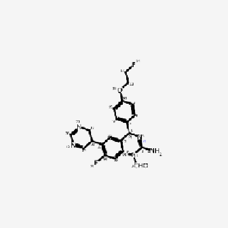 CN(C=O)/C(N)=N\[C@H](c1ccc(OCCF)cc1)c1ccc(F)c(C2C=NC=NC2)c1